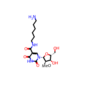 CO[C@@H]1[C@H](O)[C@@H](CO)O[C@H]1n1cc(C(=O)NCCCCCCN)c(=O)[nH]c1=O